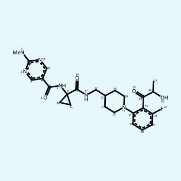 CNc1ncc(C(=O)NC2(C(=O)NCC3CCN(c4cccc(F)c4C(=O)C(C)O)CC3)CC2)cn1